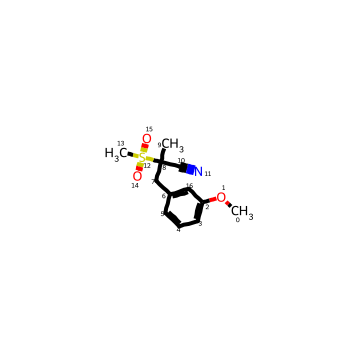 COc1cccc(CC(C)(C#N)S(C)(=O)=O)c1